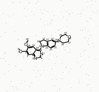 COc1cc2ncnc(N3CCc4cc(N5CCOCC5)ccc43)c2cc1OC